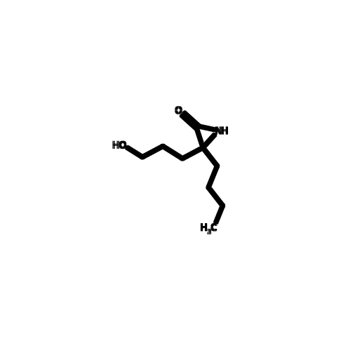 CCCCC1(CCCO)NC1=O